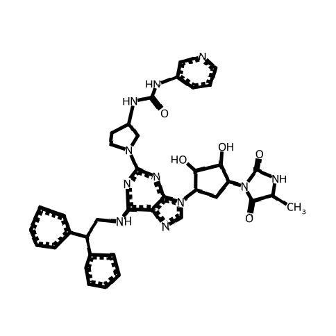 CC1NC(=O)N(C2CC(n3cnc4c(NCC(c5ccccc5)c5ccccc5)nc(N5CCC(NC(=O)Nc6cccnc6)C5)nc43)C(O)C2O)C1=O